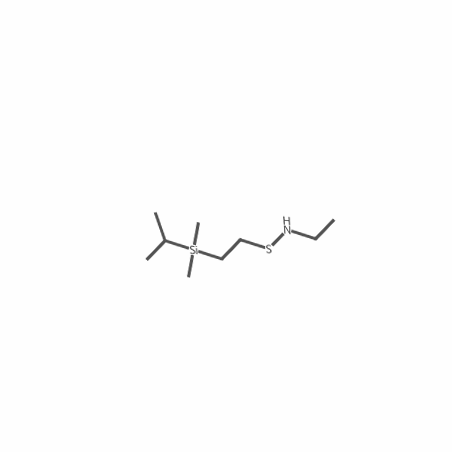 CCNSCC[Si](C)(C)C(C)C